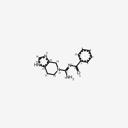 NC(=NC(=O)c1ccccc1)N1CCc2[nH]cnc2C1